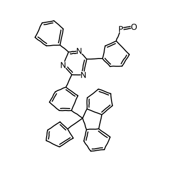 O=Pc1cccc(-c2nc(-c3ccccc3)nc(-c3cccc(C4(c5ccccc5)c5ccccc5-c5ccccc54)c3)n2)c1